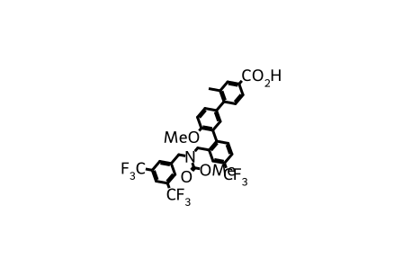 COC(=O)N(Cc1cc(C(F)(F)F)cc(C(F)(F)F)c1)Cc1cc(C(F)(F)F)ccc1-c1cc(-c2ccc(C(=O)O)cc2C)ccc1OC